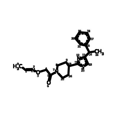 CC=NOCC(=O)N1CCC(c2nc(C(C)c3ccccc3)cs2)CC1